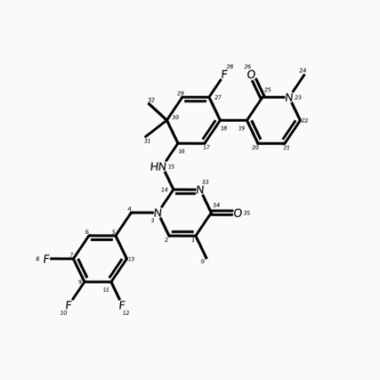 Cc1cn(Cc2cc(F)c(F)c(F)c2)c(NC2C=C(c3cccn(C)c3=O)C(F)=CC2(C)C)nc1=O